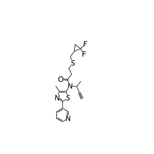 C#CC(C)N(C(=O)CCSCC1CC1(F)F)c1sc(-c2cccnc2)nc1C